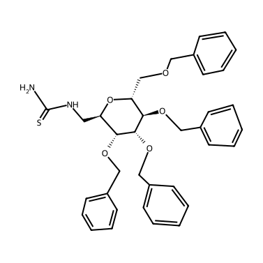 NC(=S)NC[C@H]1O[C@H](COCc2ccccc2)[C@@H](OCc2ccccc2)[C@H](OCc2ccccc2)[C@@H]1OCc1ccccc1